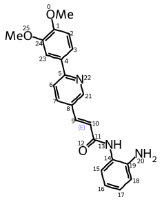 COc1ccc(-c2ccc(/C=C/C(=O)Nc3ccccc3N)cn2)cc1OC